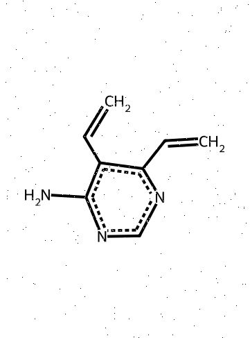 C=Cc1ncnc(N)c1C=C